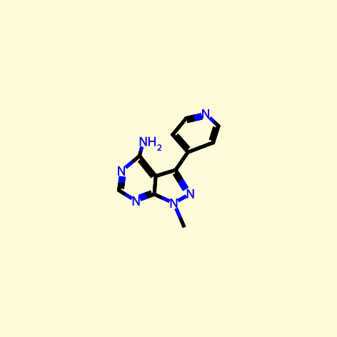 Cn1nc(-c2ccncc2)c2c(N)ncnc21